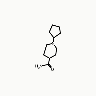 NC(=O)C1CCN(C2CCCC2)CC1